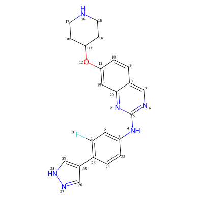 Fc1cc(Nc2ncc3ccc(OC4CCNCC4)cc3n2)ccc1-c1cn[nH]c1